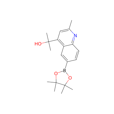 Cc1cc(C(C)(C)O)c2cc(B3OC(C)(C)C(C)(C)O3)ccc2n1